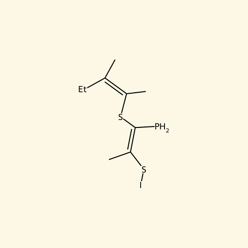 CC/C(C)=C(/C)S/C(P)=C(\C)SI